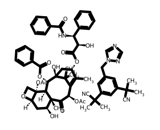 CC(=O)O[C@H]1C(=O)[C@@]2(C)[C@H]([C@H](OC(=O)c3ccccc3)[C@]3(O)C[C@H](OC(=O)[C@H](O)[C@@H](NC(=O)c4ccccc4)c4ccccc4)C(C)=C1C3(C)C)[C@]1(OC(C)=O)CO[C@@H]1C[C@@H]2O.CC(C)(C#N)c1cc(Cn2cncn2)cc(C(C)(C)C#N)c1